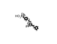 CCOC(Cc1ccc(OCCN(CCCSc2ccccc2)C(=O)NC(C)C)cc1)C(=O)O